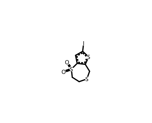 O=S1(=O)CCSCc2sc(I)cc21